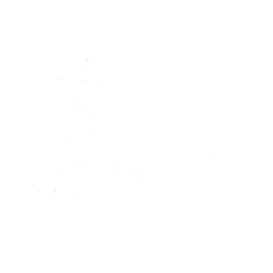 CC(C)CCCC(C)CCCC(C)(OCC(F)(F)F)OCC(F)(F)F